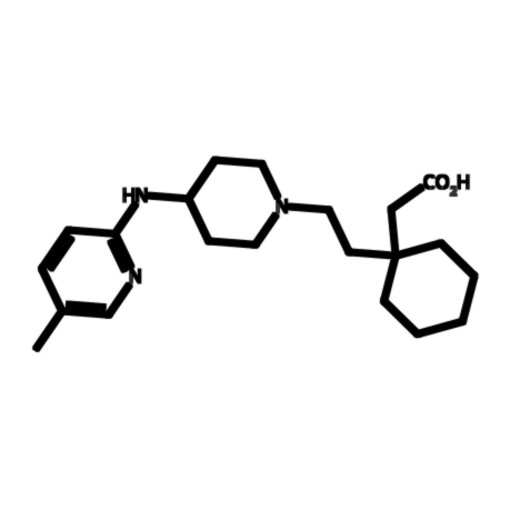 Cc1ccc(NC2CCN(CCC3(CC(=O)O)CCCCC3)CC2)nc1